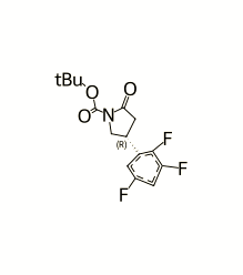 CC(C)(C)OC(=O)N1C[C@@H](c2cc(F)cc(F)c2F)CC1=O